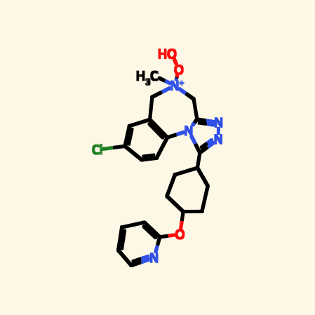 C[N+]1(OO)Cc2cc(Cl)ccc2-n2c(nnc2C2CCC(Oc3ccccn3)CC2)C1